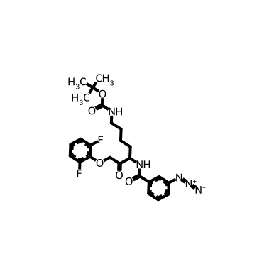 CC(C)(C)OC(=O)NCCCCC(NC(=O)c1cccc(N=[N+]=[N-])c1)C(=O)COc1c(F)cccc1F